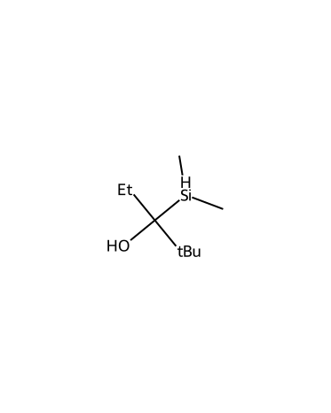 CCC(O)([SiH](C)C)C(C)(C)C